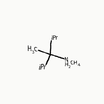 C.CC(C)C(C)(N)C(C)C